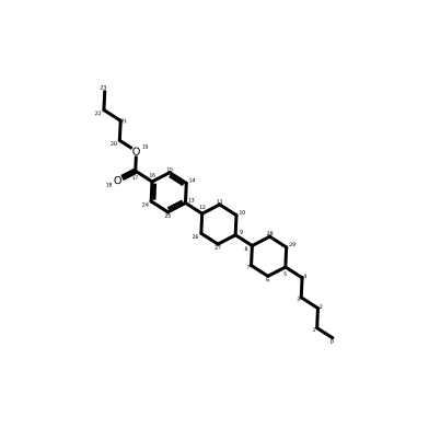 CCCCCC1CCC(C2CCC(c3ccc(C(=O)OCCCC)cc3)CC2)CC1